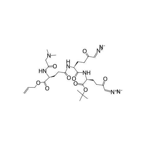 C=CCOC(=O)[C@H](CCC(=O)N[C@@H](CCC(=O)C=[N+]=[N-])C(=O)N[C@@H](CCC(=O)C=[N+]=[N-])C(=O)OC(C)(C)C)NC(=O)CN(C)C